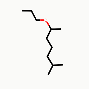 CC[CH]OC(C)CCCC(C)C